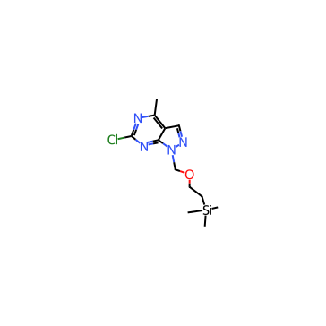 Cc1nc(Cl)nc2c1cnn2COCC[Si](C)(C)C